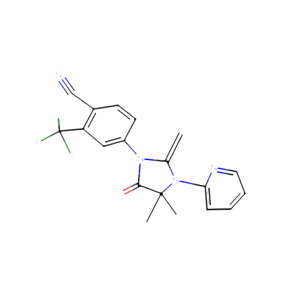 C=C1N(c2ccc(C#N)c(C(F)(F)F)c2)C(=O)C(C)(C)N1c1ccccn1